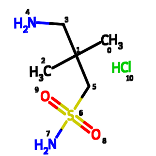 CC(C)(CN)CS(N)(=O)=O.Cl